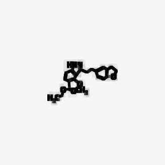 CCOC(=O)c1ccc2[nH]nc(CCc3ccc4c(c3)CCO4)c2c1OC